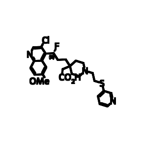 COc1ccc2ncc(Cl)c([C@H](F)CCC3(CC(=O)O)CCN(CCSc4cccnc4)CC3)c2c1